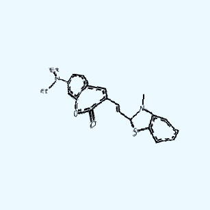 CCN(CC)c1ccc2cc(C=CC3Sc4ccccc4N3C)c(=O)oc2c1